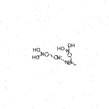 C=C/C=C(\C=C/NCCCC[n+]1ccc(/C=C/c2ccc(N(CCO)CCO)cc2)cc1)/C=C/c1ccc(N(CCO)CCO)cc1